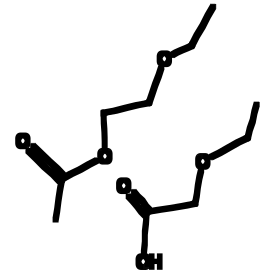 CCOCC(=O)O.CCOCCOC(C)=O